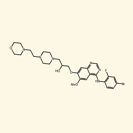 COc1cc2c(Nc3ccc(Br)cc3F)ncnc2cc1OCC(O)CN1CCN(CCN2CCOCC2)CC1